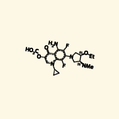 CCO[C@@H]1CN(c2c(F)c(N)c3c(=O)c(OC(=O)O)cn(C4CC4)c3c2F)C[C@@H]1NC